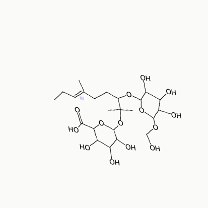 CC/C=C(\C)CCC(OC1OC(OCO)C(O)C(O)C1O)C(C)(C)OC1OC(C(=O)O)C(O)C(O)C1O